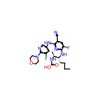 CCCC[C@@H](Nc1nc(Nc2cnc(N3CCOCC3)c(F)c2)c(C#N)cc1F)[C@H](C)NC(=O)O